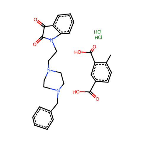 Cc1ccc(C(=O)O)cc1C(=O)O.Cl.Cl.O=C1C(=O)N(CCN2CCN(Cc3ccccc3)CC2)c2ccccc21